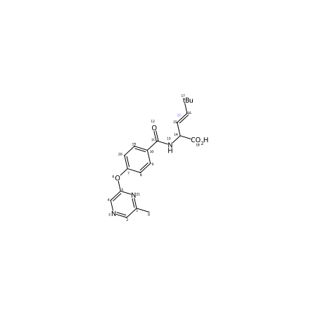 Cc1cncc(Oc2ccc(C(=O)NC(/C=C/C(C)(C)C)C(=O)O)cc2)n1